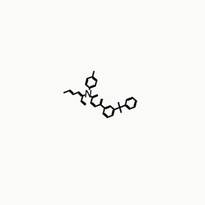 C=C/C(=C\C=C\C)N(C(=C)/C=C\C(=C)c1cccc(C(C)(C)c2ccccc2)c1)c1ccc(C)cc1